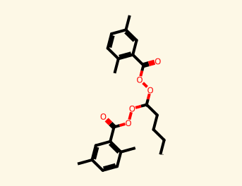 [CH2]CCC[C](OOC(=O)c1cc(C)ccc1C)OOC(=O)c1cc(C)ccc1C